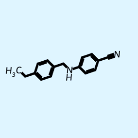 CCc1ccc(CNc2ccc(C#N)cc2)cc1